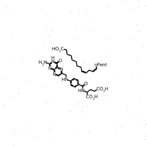 CCCCC/C=C\C/C=C\CCCCCCCC(=O)O.Nc1nc2ncc(CNc3ccc(C(=O)NC(CCC(=O)O)C(=O)O)cc3)nc2c(=O)[nH]1